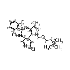 Cc1nn(COCC[Si](C)(C)C)c2c1N=C(c1c(F)cccc1Cl)Nc1cnc(Cl)cc1-2